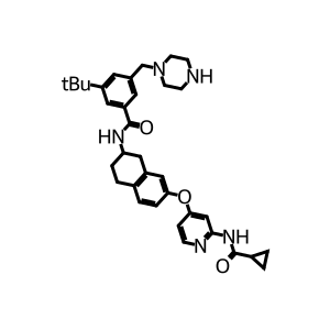 CC(C)(C)c1cc(CN2CCNCC2)cc(C(=O)NC2CCc3ccc(Oc4ccnc(NC(=O)C5CC5)c4)cc3C2)c1